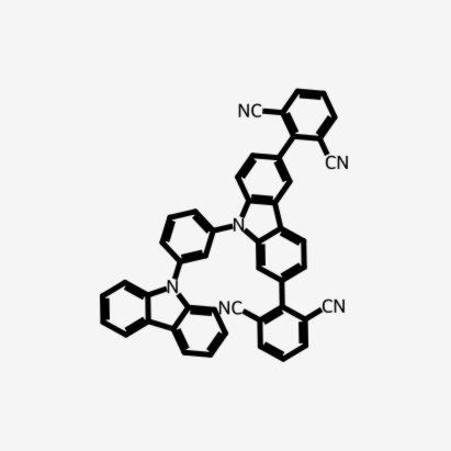 N#Cc1cccc(C#N)c1-c1ccc2c(c1)c1ccc(-c3c(C#N)cccc3C#N)cc1n2-c1cccc(-n2c3ccccc3c3ccccc32)c1